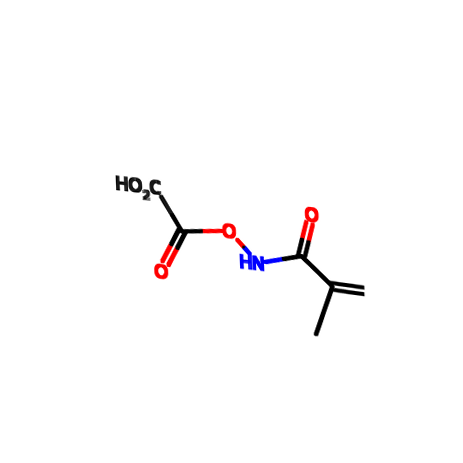 C=C(C)C(=O)NOC(=O)C(=O)O